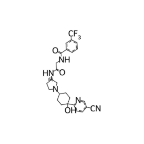 N#Cc1ccc(C2(O)CCC(N3CC[C@@H](NC(=O)CNC(=O)c4cccc(C(F)(F)F)c4)C3)CC2)nc1